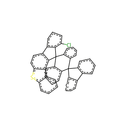 Clc1cccc2c1C1(c3ccccc3C3(c4ccccc4-c4ccccc43)c3ccccc31)c1c-2ccc2sc3ccccc3c12